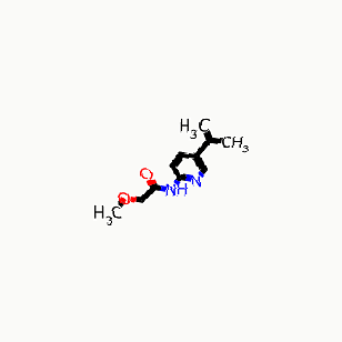 COCC(=O)Nc1ccc(C(C)C)cn1